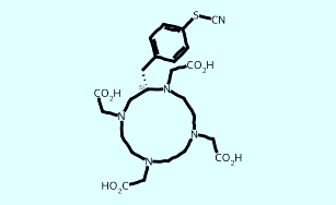 N#CSc1ccc(C[C@H]2CN(CC(=O)O)CCN(CC(=O)O)CCN(CC(=O)O)CCN2CC(=O)O)cc1